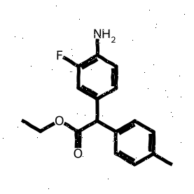 CCOC(=O)C(c1ccc(C)cc1)c1ccc(N)c(F)c1